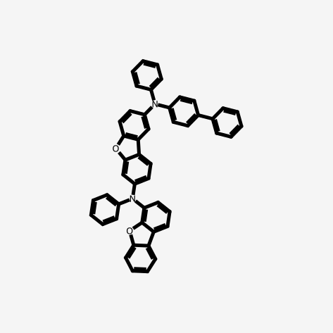 c1ccc(-c2ccc(N(c3ccccc3)c3ccc4oc5cc(N(c6ccccc6)c6cccc7c6oc6ccccc67)ccc5c4c3)cc2)cc1